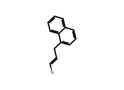 Br/C=C/Cc1cccc2ccccc12